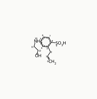 C=CCc1ccccc1S(=O)(=O)O.NCCO